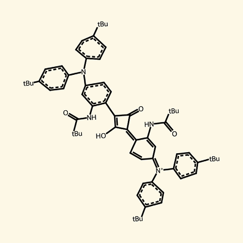 CC(C)(C)C(=O)NC1=CC(=[N+](c2ccc(C(C)(C)C)cc2)c2ccc(C(C)(C)C)cc2)C=C/C1=C1/C(=O)C(c2ccc(N(c3ccc(C(C)(C)C)cc3)c3ccc(C(C)(C)C)cc3)cc2NC(=O)C(C)(C)C)=C1O